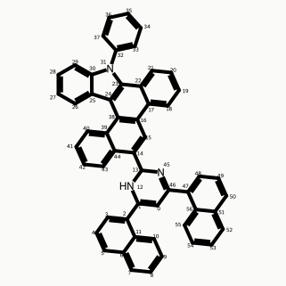 C1=C(c2cccc3ccccc23)NC(c2cc3c4ccccc4c4c(c5ccccc5n4-c4ccccc4)c3c3ccccc23)N=C1c1cccc2ccccc12